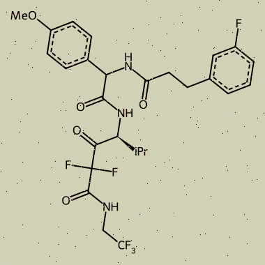 COc1ccc(C(NC(=O)CCc2cccc(F)c2)C(=O)N[C@H](C(=O)C(F)(F)C(=O)NCC(F)(F)F)C(C)C)cc1